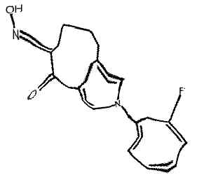 O=C1C(=NO)CCc2cn(-c3ccccc3F)cc21